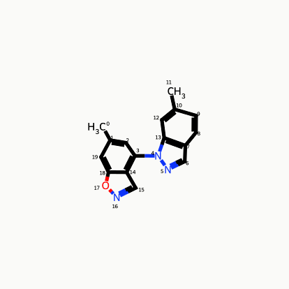 Cc1cc(-n2ncc3ccc(C)cc32)c2cnoc2c1